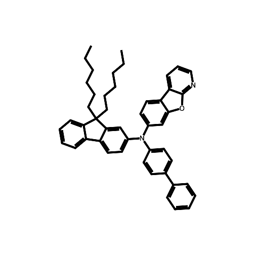 CCCCCCC1(CCCCCC)c2ccccc2-c2ccc(N(c3ccc(-c4ccccc4)cc3)c3ccc4c(c3)oc3ncccc34)cc21